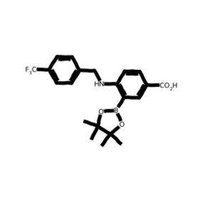 CC1(C)OB(c2cc(C(=O)O)ccc2NCc2ccc(C(F)(F)F)cc2)OC1(C)C